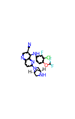 N#Cc1cnc2ccc(N3C[C@@H]4C[C@H]3CN4)nc2c1Nc1ccc(OC(F)F)c(Cl)c1F